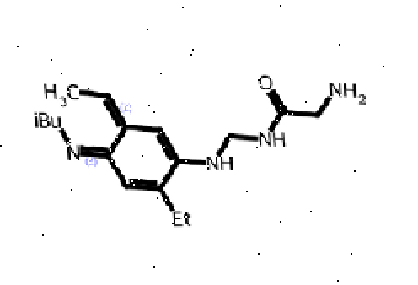 C/C=C1/C=C(NCNC(=O)CN)C(CC)=C/C1=N/C(C)CC